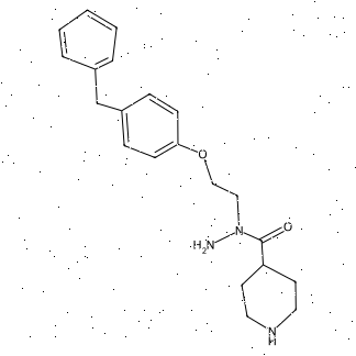 NN(CCOc1ccc(Cc2ccccc2)cc1)C(=O)C1CCNCC1